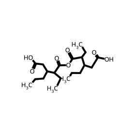 CCCC(CC(=O)O)C(CC)C(=O)OC(=O)C(CC)C(CCC)CC(=O)O